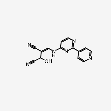 N#CC(=CNc1ccnc(-c2ccncc2)n1)C(O)C#N